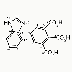 O=C(O)c1cccc(C(=O)O)c1C(=O)O.c1ccc2[nH]cnc2c1